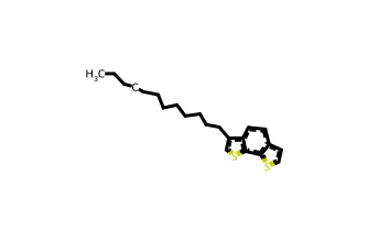 CCCCCCCCCCCCc1csc2c1ccc1ccsc12